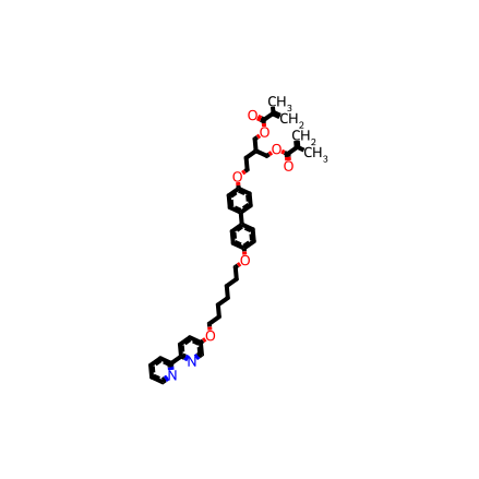 C=C(C)C(=O)OCC(CCOc1ccc(-c2ccc(OCCCCCCCOc3ccc(-c4ccccn4)nc3)cc2)cc1)COC(=O)C(=C)C